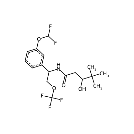 CC(C)(C)C(O)CC(=O)NC(COC(F)(F)F)c1cccc(OC(F)F)c1